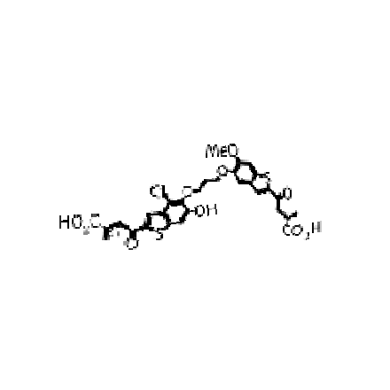 COc1cc2sc(C(=O)C[C@H](C)C(=O)O)cc2cc1OCCCOc1c(O)cc2sc(C(=O)C[C@H](C)C(=O)O)cc2c1Cl